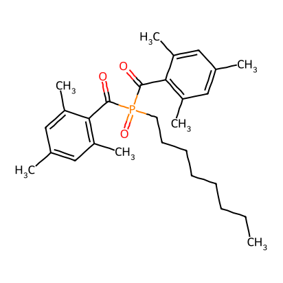 CCCCCCCCP(=O)(C(=O)c1c(C)cc(C)cc1C)C(=O)c1c(C)cc(C)cc1C